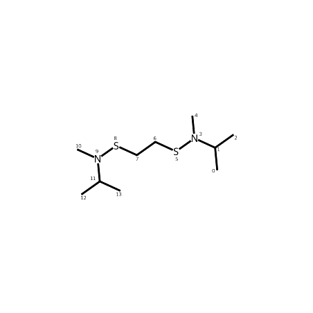 CC(C)N(C)SCCSN(C)C(C)C